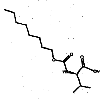 CCCCCCCCOC(=O)N[C@@H](C(=O)O)C(C)C